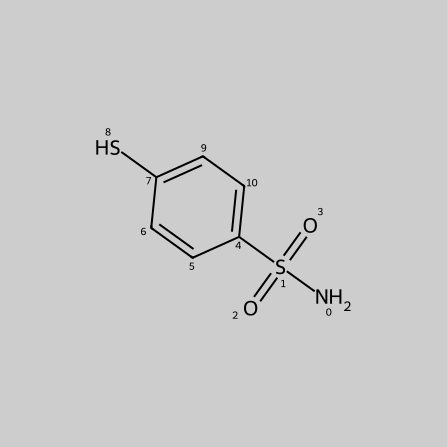 NS(=O)(=O)c1ccc(S)cc1